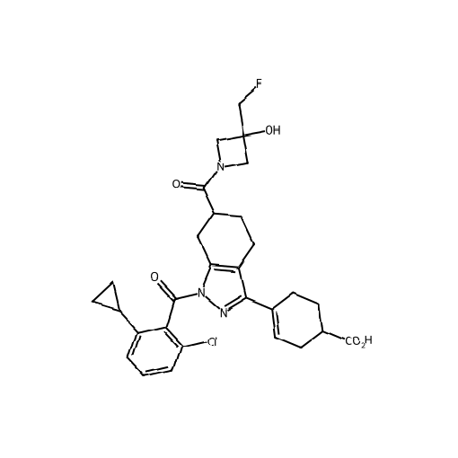 O=C(O)C1CC=C(c2nn(C(=O)c3c(Cl)cccc3C3CC3)c3c2CCC(C(=O)N2CC(O)(CF)C2)C3)CC1